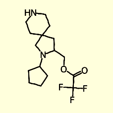 O=C(OCC1CC2(CCNCC2)CN1C1CCCC1)C(F)(F)F